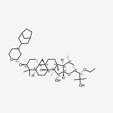 CCO[C@@H]([C@H]1C[C@@H](C)[C@H]2[C@H](O1)[C@H](O)[C@@]1(C)[C@@H]3CC[C@H]4C(C)(C)[C@@H](O[C@H]5CN(C6CC7CCC(C7)C6)CCO5)CC[C@@]45C[C@@]35CC[C@]21C)C(C)(C)O